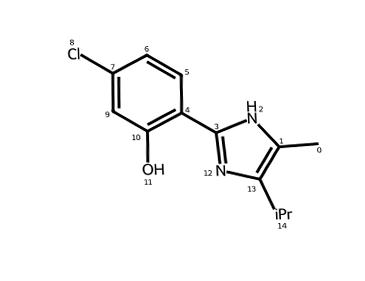 Cc1[nH]c(-c2ccc(Cl)cc2O)nc1C(C)C